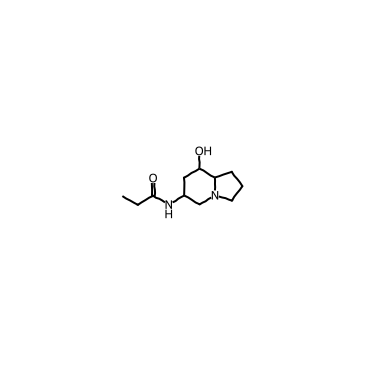 CCC(=O)NC1CC(O)C2CCCN2C1